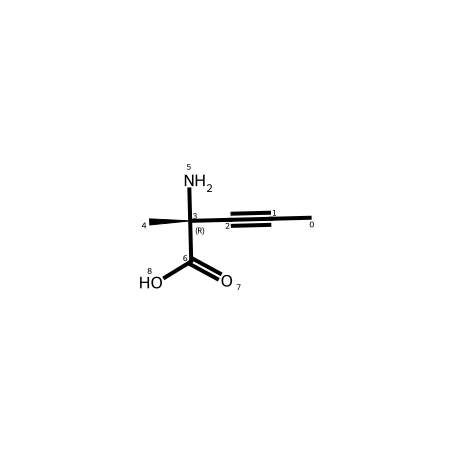 CC#C[C@@](C)(N)C(=O)O